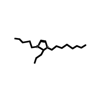 CCCCCCCCN1C=CN(CCCCC)C1CCC